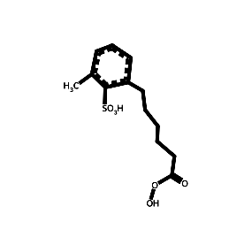 Cc1cccc(CCCCCC(=O)OO)c1S(=O)(=O)O